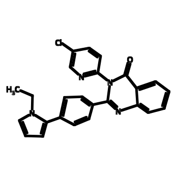 CCn1cccc1-c1ccc(-c2nc3ccccc3c(=O)n2-c2ccc(Cl)cn2)cc1